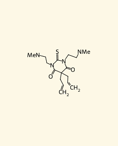 C=CCC1(CC=C)C(=O)N(CCNC)C(=S)N(CCNC)C1=O